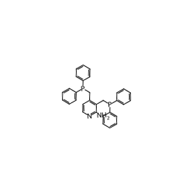 Nc1nccc(CP(c2ccccc2)c2ccccc2)c1CP(c1ccccc1)c1ccccc1